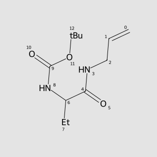 C=CCNC(=O)C(CC)NC(=O)OC(C)(C)C